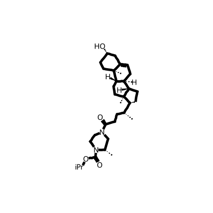 CC(C)OC(=O)N1CCN(C(=O)CC[C@@H](C)[C@H]2CC[C@H]3[C@@H]4CC=C5C[C@@H](O)CC[C@]5(C)[C@H]4CC[C@]23C)C[C@@H]1C